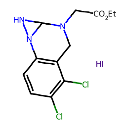 CCOC(=O)CN1Cc2c(ccc(Cl)c2Cl)N2NC12.I